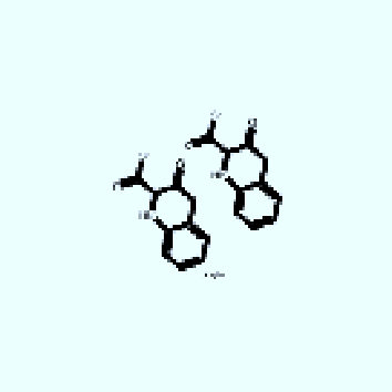 O=C([O-])C1Nc2ccccc2CC1=O.O=C([O-])C1Nc2ccccc2CC1=O.[Zn+2]